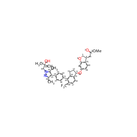 COC(=O)C[C@@H]1COc2cc(O[C@@H]3CCc4c3ccc(C(F)(F)F)c4-c3ccc(-c4c(C)nn(CC(C)(C)O)c4C)cc3)ccc21